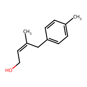 C/C(=C/CO)Cc1ccc(C)cc1